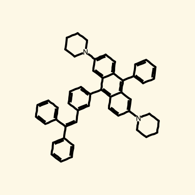 C(=C(c1ccccc1)c1ccccc1)c1cccc(-c2c3ccc(N4CCCCC4)cc3c(-c3ccccc3)c3ccc(N4CCCCC4)cc23)c1